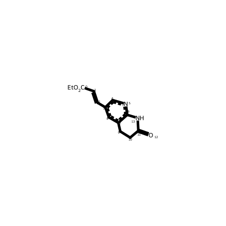 CCOC(=O)/C=C/c1cnc2c(c1)CCC(=O)N2